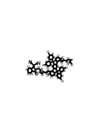 Cc1ccc(C2(c3ccc(C)cc3)c3cc4c(cc3-c3c2ccc2sc(-c5ccc(C)s5)cc32)C(c2ccc(C)cc2)(c2ccc(C)cc2)c2ccc3sc(-c5ccc(/C=C6\C(=O)c7ccccc7C6=C(C#N)C#N)s5)cc3c2-4)cc1